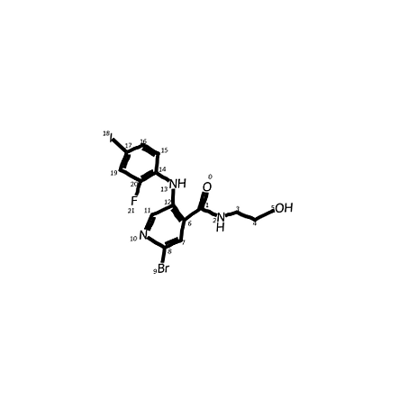 O=C(NCCO)c1cc(Br)ncc1Nc1ccc(I)cc1F